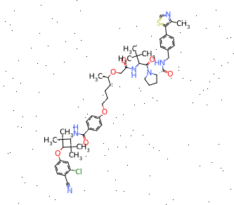 Cc1ncsc1-c1ccc(CNC(=O)[C@@H]2CCCN2C(=O)[C@@H](NC(=O)CO[C@H](C)CCCCOc2ccc(C(=O)N[C@H]3C(C)(C)[C@H](Oc4ccc(C#N)c(Cl)c4)C3(C)C)cc2)C(C)(C)C)cc1